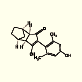 Cc1cc(O)cc(C)c1C1=C(O)[C@H]2[C@H]3CC[C@H](C3)[C@H]2C1=O